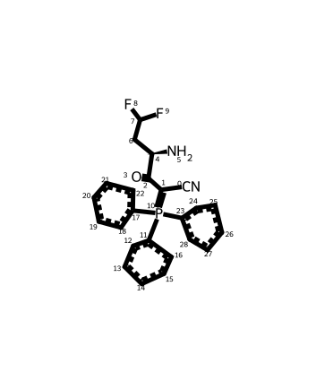 N#CC(C(=O)[C@H](N)CC(F)F)=P(c1ccccc1)(c1ccccc1)c1ccccc1